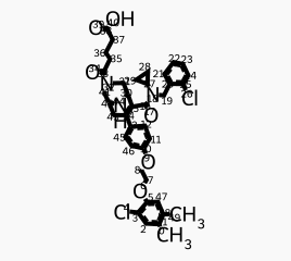 Cc1cc(Cl)c(OCCOc2ccc(C3=C(C(=O)N(Cc4ccccc4Cl)C4CC4)C4CN(C(=O)CCCC(=O)O)CC(C3)N4)cc2)cc1C